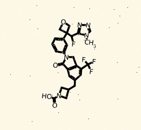 Cn1cnnc1C(F)C1(c2cccc(N3Cc4c(cc(CC5CN(C(=O)O)C5)cc4C(F)(F)F)C3=O)c2)COC1